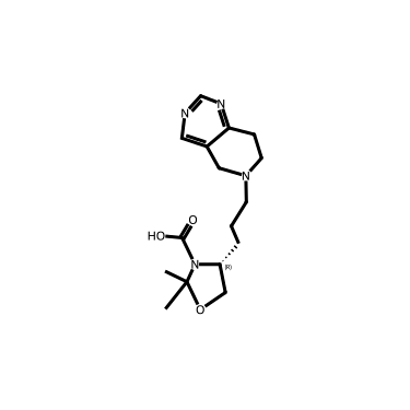 CC1(C)OC[C@@H](CCCN2CCc3ncncc3C2)N1C(=O)O